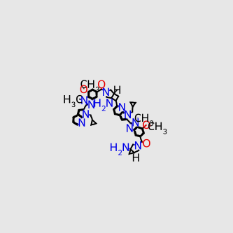 COc1cc(C(=O)N2C[C@@H]3CC(c4ccc5cc(-c6nc7cc(C(=O)N8C[C@H]9C[C@@]9(N)C8)cc(OC)c7n6C)n(CC6CC6)c5n4)[C@]3(N)C2)cc2nc(-c3cc4cccnc4n3CC3CC3)n(C)c12